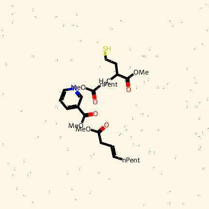 CCCCCC(=O)OC.CCCCCC=CCC(=O)OC.COC(=O)C(C)CCS.COC(=O)c1cccnc1